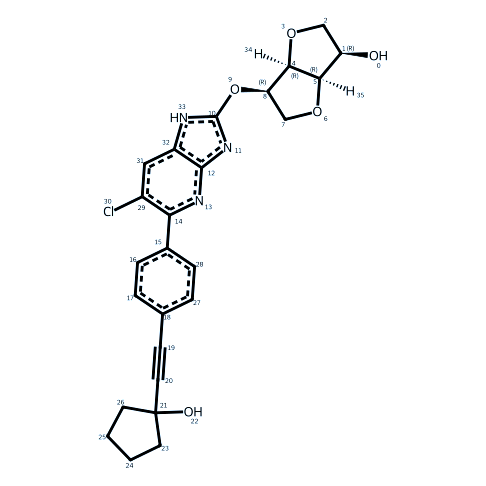 O[C@@H]1CO[C@H]2[C@@H]1OC[C@H]2Oc1nc2nc(-c3ccc(C#CC4(O)CCCC4)cc3)c(Cl)cc2[nH]1